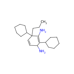 CCCC1(C2CCCCC2)C=CC(N)C(C2CCCCC2)=C1N